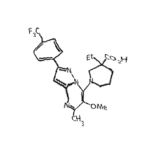 CCC1(C(=O)O)CCCN(c2c(OC)c(C)nc3cc(-c4ccc(C(F)(F)F)cc4)nn23)C1